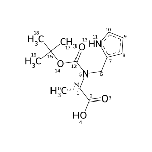 C[C@@H](C(=O)O)N(Cc1ccc[nH]1)C(=O)OC(C)(C)C